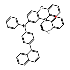 c1ccc(N(c2ccc(-c3cccc4ccccc34)cc2)c2ccc3c(c2)[Si]2(c4ccccc4Oc4ccccc42)c2ccccc2O3)cc1